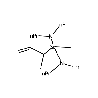 C=CC(C)[Si](C)(N(CCC)CCC)N(CCC)CCC